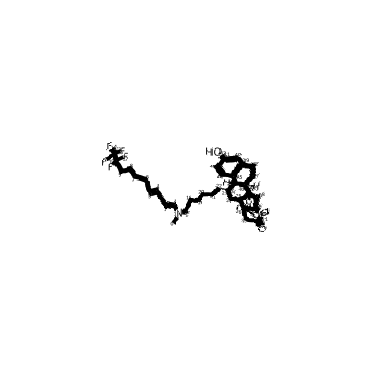 CN(CCCCCCCCC(F)(F)C(F)(F)F)CCCCCC[C@H]1C[C@@]2(C)[C@@H](CC3OC(=O)C[C@@]32O)[C@@H]2CCc3cc(O)ccc3[C@@H]12